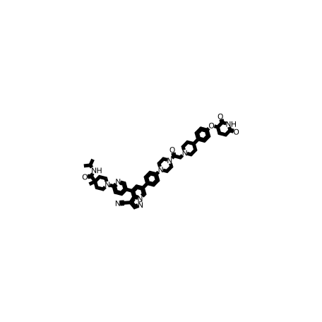 CC(C)NC(=O)C1(C)CCN(c2ccc(-c3cc(-c4ccc(N5CCN(C(=O)CN6CCC(c7ccc(OC8CCC(=O)NC8=O)cc7)CC6)CC5)cc4)cn4ncc(C#N)c34)cn2)CC1